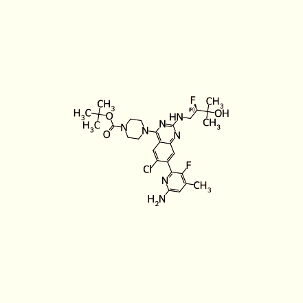 Cc1cc(N)nc(-c2cc3nc(NC[C@@H](F)C(C)(C)O)nc(N4CCN(C(=O)OC(C)(C)C)CC4)c3cc2Cl)c1F